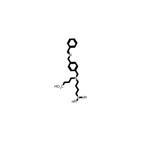 CCCN(CCC)CCCCN(CCCC(=O)O)Cc1ccc(CN=Cc2ccccc2)cc1